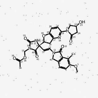 COc1ccc2c(c1F)C(=O)N(/C=C/[C@@]1(C3Cc4nc(N5C[C@@H](O)CC5=O)ccc4O3)NC(=O)N(COC(C)=O)C1=O)C2